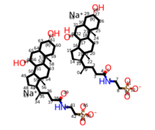 C[C@H](CCC(=O)NCCS(=O)(=O)[O-])[C@H]1CCC2C3C(CC[C@@]21C)[C@@]1(C)CC[C@@H](O)CC1C[C@H]3O.C[C@H](CCC(=O)NCCS(=O)(=O)[O-])[C@H]1CCC2C3C(CC[C@@]21C)[C@@]1(C)CC[C@@H](O)CC1C[C@H]3O.[Na+].[Na+]